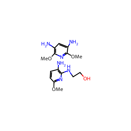 COc1ccc(N)c(NCCO)n1.COc1nc(OC)c(N)cc1N